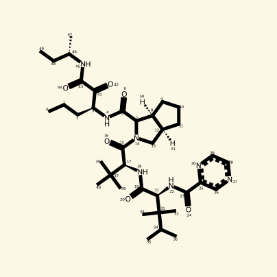 CCC[C@H](NC(=O)C1[C@H]2CCC[C@H]2CN1C(=O)[C@@H](NC(=O)[C@@H](NC(=O)c1cnccn1)C(C)(C)C(C)C)C(C)(C)C)C(=O)C(=O)N[C@@H](C)CC